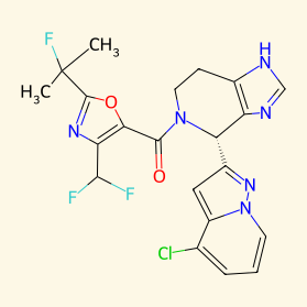 CC(C)(F)c1nc(C(F)F)c(C(=O)N2CCc3[nH]cnc3[C@@H]2c2cc3c(Cl)cccn3n2)o1